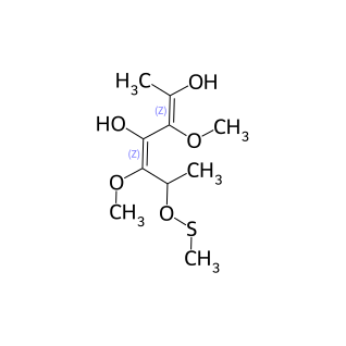 COC(=C(/C)O)/C(O)=C(/OC)C(C)OSC